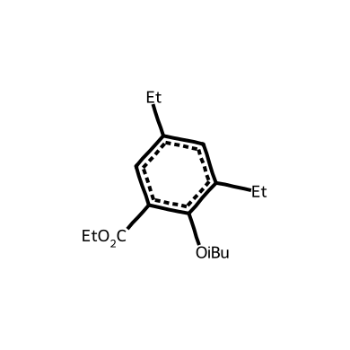 CCOC(=O)c1cc(CC)cc(CC)c1OCC(C)C